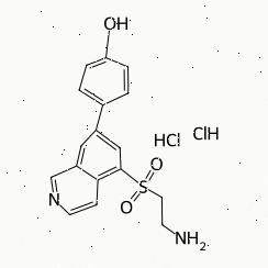 Cl.Cl.NCCS(=O)(=O)c1cc(-c2ccc(O)cc2)cc2cnccc12